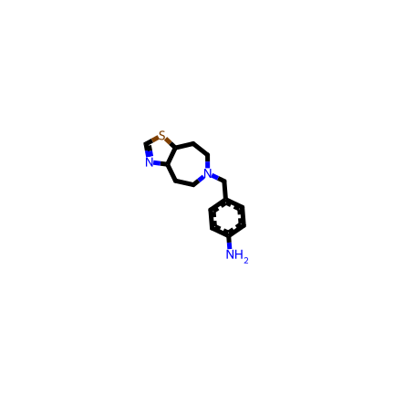 Nc1ccc(CN2CCC3N=CSC3CC2)cc1